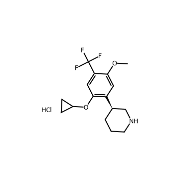 COc1cc([C@@H]2CCCNC2)c(OC2CC2)cc1C(F)(F)F.Cl